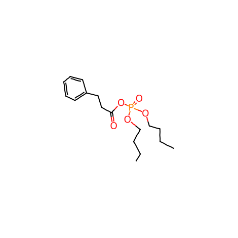 CCCCOP(=O)(OCCCC)OC(=O)CCc1ccccc1